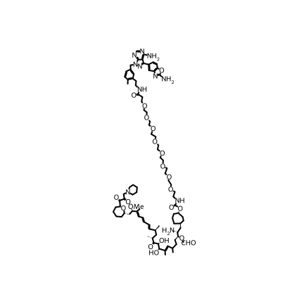 CO[C@@H](C[C@@H]1CCCCC(C(=O)C(=O)CN2CCCCC2)O1)/C(C)=C/C=C/C=C/[C@@H](C)C[C@@H](C)C(=O)[C@H](O)[C@H](O)/C(C)=C/C(C)CC[C@H](OC=O)[C@H](N)C[C@H]1CCC[C@H](OC(=O)NCCOCCOCCOCCOCCOCCOCCOCCOCCC(=O)NCCc2cc(Cn3nc(-c4ccc5oc(N)nc5c4)c4c(N)ncnc43)ccc2C)CC1